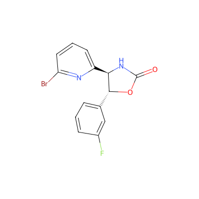 O=C1N[C@H](c2cccc(Br)n2)[C@@H](c2cccc(F)c2)O1